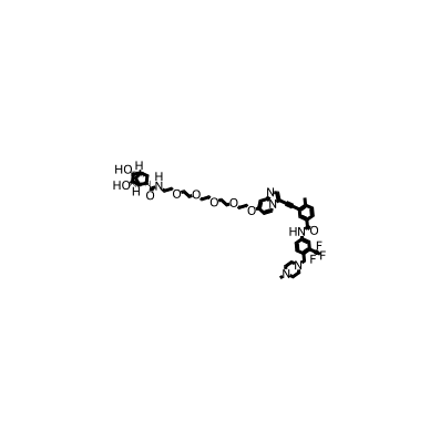 Cc1ccc(C(=O)Nc2ccc(CN3CCN(C)CC3)c(C(F)(F)F)c2)cc1C#Cc1cnc2cc(OCCOCCOCCOCCOCCNC(=O)[C@H]3C[C@@H]4C[C@H]3[C@@H](O)[C@H]4O)ccn12